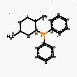 CC1CCC(C(C)C)[C@@H](P(c2ccccc2)c2ccccc2)C1